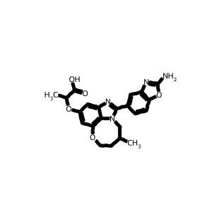 CC1CCOc2cc(OC(C)C(=O)O)cc3nc(-c4ccc5oc(N)nc5c4)n(c23)C1